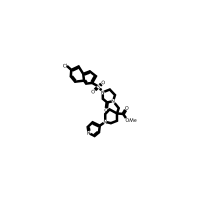 COC(=O)C1(CN2CCN(S(=O)(=O)c3ccc4cc(Cl)ccc4c3)CC2=O)CCN(c2ccncc2)CC1